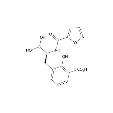 O=C(N[C@@H](Cc1cccc(C(=O)O)c1O)B(O)O)c1ccno1